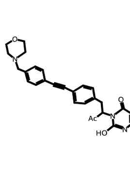 CC(=O)C(Cc1ccc(C#Cc2ccc(CN3CCOCC3)cc2)cc1)n1c(O)nccc1=O